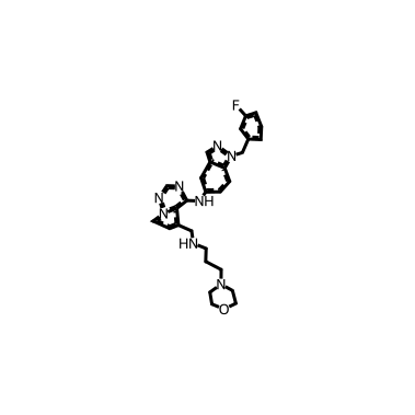 Fc1cccc(Cn2ncc3cc(Nc4ncnn5ccc(CNCCCN6CCOCC6)c45)ccc32)c1